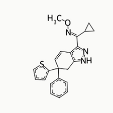 CON=C(c1n[nH]c2c1C=CC(c1ccccc1)(c1cccs1)C2)C1CC1